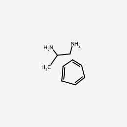 CC(N)CN.c1ccccc1